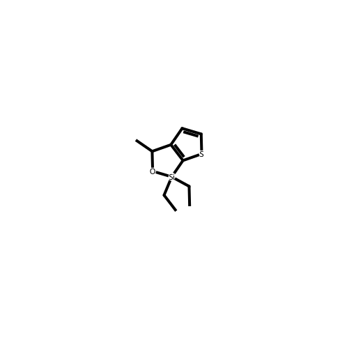 CC[Si]1(CC)OC(C)c2ccsc21